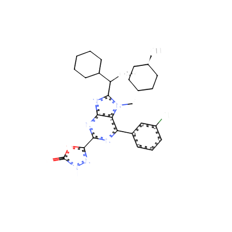 COC(c1nc2nc(-c3n[nH]c(=O)o3)nc(-c3cccc(Cl)c3)c2n1C[C@H]1CC[C@H](C)CC1)C1CCCCC1